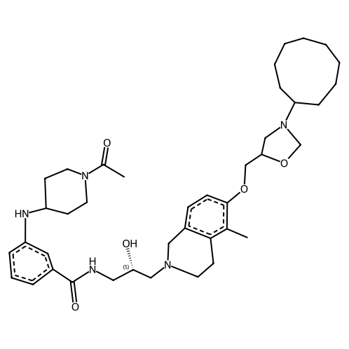 CC(=O)N1CCC(Nc2cccc(C(=O)NC[C@H](O)CN3CCc4c(ccc(OCC5CN(C6CCCCCCCC6)CO5)c4C)C3)c2)CC1